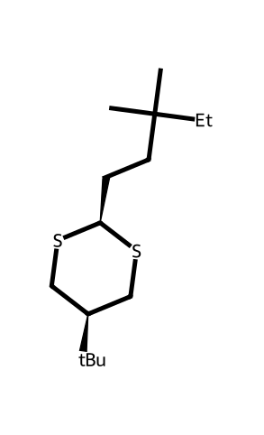 CCC(C)(C)CC[C@H]1SC[C@@H](C(C)(C)C)CS1